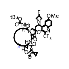 COc1ccc2nc(C(F)(F)F)c3c(c2c1)[C@H](N1CC(F)C1)C[C@]1(C[C@H]2C(=O)N[C@]4(C(=O)N5C6(CC6)S5(=O)=O)C[C@H]4/C=C\CCCCC[C@H](NC(=O)OC(C)(C)C)C(=O)N2C1)O3